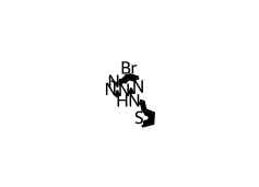 Brc1cnc(NCc2cccs2)n2cnnc12